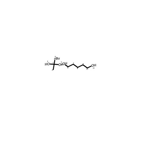 CCCCC(C)(O)O.OCCCCCO